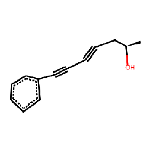 C[C@@H](O)CC#CC#Cc1ccccc1